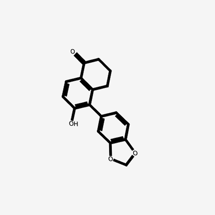 O=C1CCCc2c1ccc(O)c2-c1ccc2c(c1)OCO2